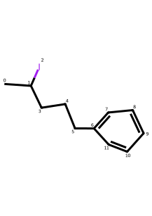 CC(I)CCCc1ccccc1